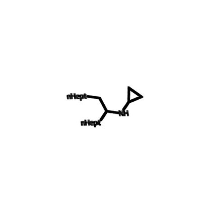 CCCCCCCCC(CCCCCCC)NC1CC1